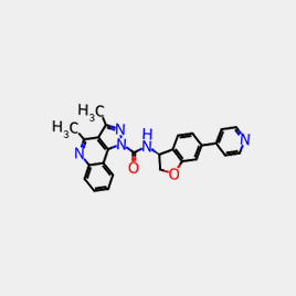 Cc1nc2ccccc2c2c1c(C)nn2C(=O)N[C@@H]1COc2cc(-c3ccncc3)ccc21